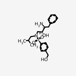 CC(C)CN(C[C@@H](O)[C@@H](N)Cc1ccccc1)S(=O)(=O)c1ccc(CO)cc1